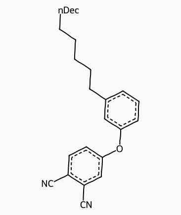 CCCCCCCCCCCCCCCc1cccc(Oc2ccc(C#N)c(C#N)c2)c1